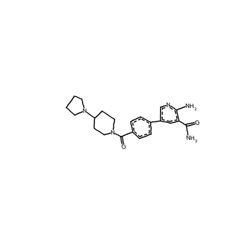 NC(=O)c1cc(-c2ccc(C(=O)N3CCC(N4CCCC4)CC3)cc2)cnc1N